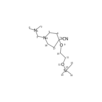 CN(C)CN1CCC(C#N)(OCCO[Si](C)(C)C)CC1